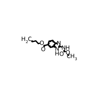 C=CCCOC(=O)c1ccc2nc(NC(=O)OC)[nH]c2c1